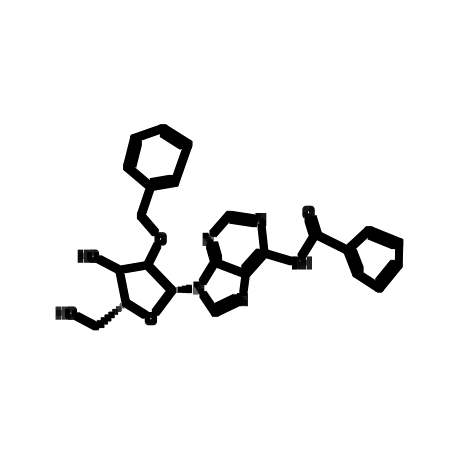 O=C(Nc1ncnc2c1ncn2[C@@H]1O[C@H](CO)C(O)C1OCc1ccccc1)c1ccccc1